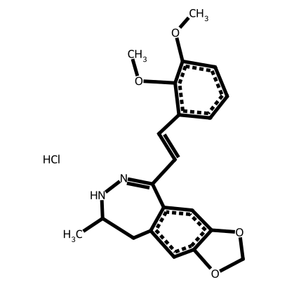 COc1cccc(C=CC2=NNC(C)Cc3cc4c(cc32)OCO4)c1OC.Cl